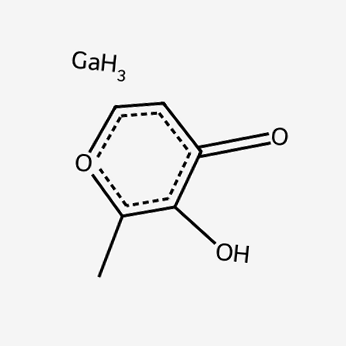 Cc1occc(=O)c1O.[GaH3]